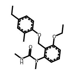 CCOc1cccc(N(C)C(=O)NC)c1COc1ccc(CC)cc1C